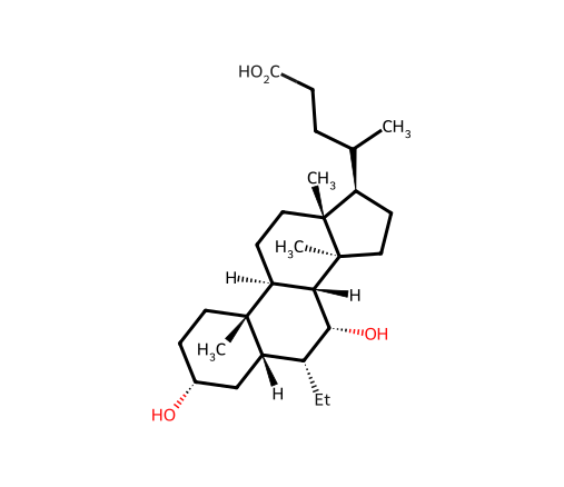 CC[C@H]1[C@@H](O)[C@@H]2[C@H](CC[C@]3(C)[C@@H](C(C)CCC(=O)O)CC[C@@]23C)[C@@]2(C)CC[C@@H](O)C[C@@H]12